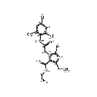 CCOC(=O)c1c(CC)nc(Br)n1CC(=O)Nc1c(Cl)cc(Cl)cc1Cl